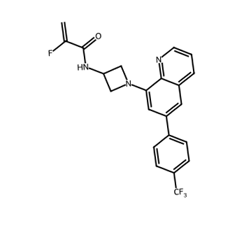 C=C(F)C(=O)NC1CN(c2cc(-c3ccc(C(F)(F)F)cc3)cc3cccnc23)C1